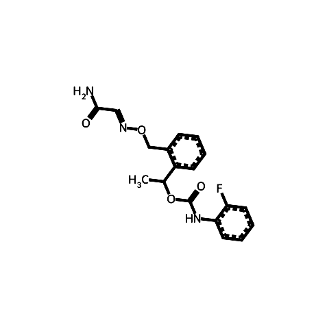 CC(OC(=O)Nc1ccccc1F)c1ccccc1CON=CC(N)=O